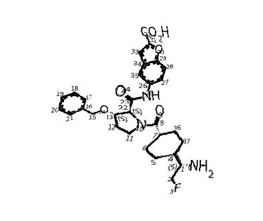 N[C@H](CF)[C@H]1CC[C@H](C(=O)N2CC[C@H](OCc3ccccc3)[C@H]2C(=O)Nc2ccc3oc(C(=O)O)cc3c2)CC1